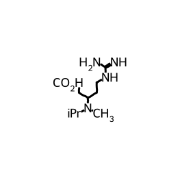 CC(C)N(C)C(CCNC(=N)N)CC(=O)O